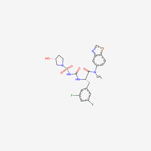 CN(C(=O)[C@H](Cc1cc(F)cc(F)c1)NC(=O)NS(=O)(=O)N1CC[C@@H](O)C1)c1ccc2scnc2c1